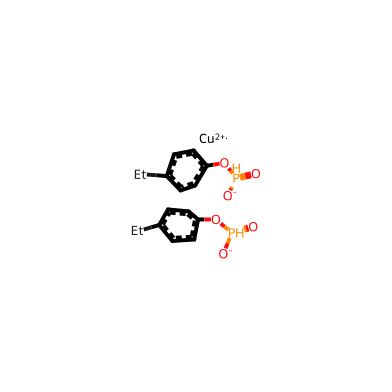 CCc1ccc(O[PH](=O)[O-])cc1.CCc1ccc(O[PH](=O)[O-])cc1.[Cu+2]